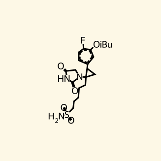 CC(C)COc1cc(C2CC2(CCCCCS(N)(=O)=O)N2CC(=O)NC2=O)ccc1F